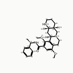 COc1cc(C(=O)N[C@H](C)c2ccccc2)c(OC)c2c1CCN1C[C@H]3CCCN[C@H]3C[C@@H]21